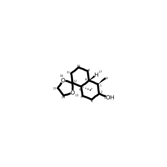 C[C@H]1C(O)CC[C@]2(C)[C@@H]1CCCC21OCCO1